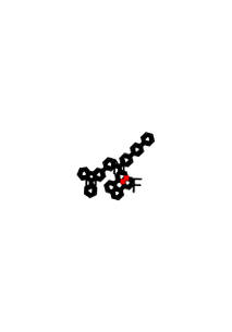 Fc1cccc(-c2cccc3cccc(-c4cccc(N(c5ccc(-c6ccc(-c7ccccc7)cc6)cc5)c5cccc(-c6ccc7c(c6)c6ccccc6n7-c6ccccc6)c5)c4)c23)c1